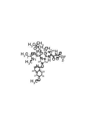 C=CC(=O)N(C)C[C@H](NC(=O)OC(C)(C)C)C(=O)N1C[C@H](Oc2nccc3cc(OC)ccc23)C[C@H]1C(=O)N[C@]1(C(=O)NS(=O)(=O)C2CC2)C[C@H]1C=C